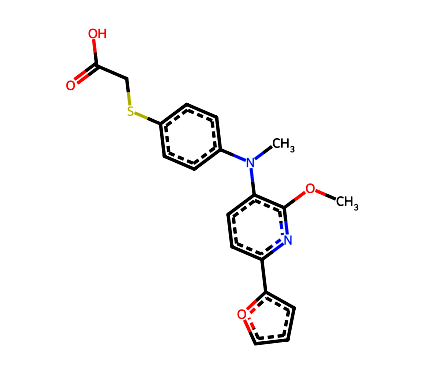 COc1nc(-c2ccco2)ccc1N(C)c1ccc(SCC(=O)O)cc1